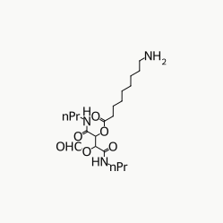 CCCNC(=O)C(OC=O)C(OC(=O)CCCCCCCCN)C(=O)NCCC